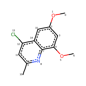 COc1cc(OC)c2nc(C)cc(Cl)c2c1